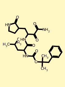 CC(C)CC(NC(=O)OC(C)(C)Cc1ccccc1)C(=O)NC(CC1CCNC1=O)C(=O)C(N)=O